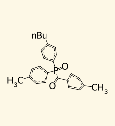 CCCCc1ccc(P(=O)(C(=O)c2ccc(C)cc2)c2ccc(C)cc2)cc1